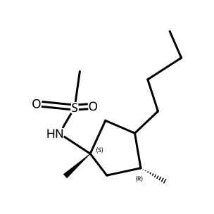 CCCCC1C[C@@](C)(NS(C)(=O)=O)C[C@H]1C